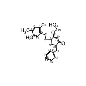 Cc1cc(F)c(CCC2CC(Cc3ccncc3)C(=O)C=C2OCO)cc1O